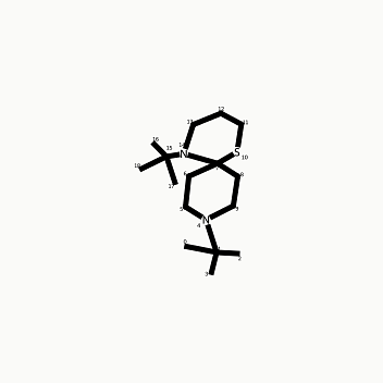 CC(C)(C)N1CCC2(CC1)SCCCN2C(C)(C)C